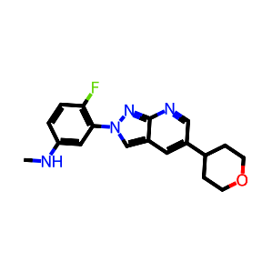 CNc1ccc(F)c(-n2cc3cc(C4CCOCC4)cnc3n2)c1